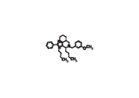 CCCCC(c1cnc(-c2ccccc2)n1CCCC)N(Cc1cccc(OC)c1)CC1CCCCC1